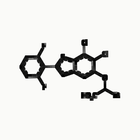 CCC(Oc1cc2cc(-c3c(F)cccc3F)sc2c(Cl)c1Cl)C(=O)O